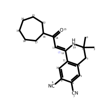 CC1(C)Cc2cc(C#N)c(C#N)cc2/C(=C/C(=O)C2CCCCCC2)N1